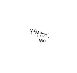 [CH2-].[Mo].[Mo].[Mo]